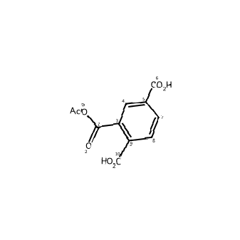 CC(=O)OC(=O)c1cc(C(=O)O)ccc1C(=O)O